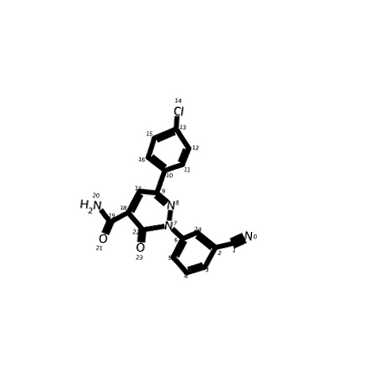 N#Cc1cccc(-n2nc(-c3ccc(Cl)cc3)cc(C(N)=O)c2=O)c1